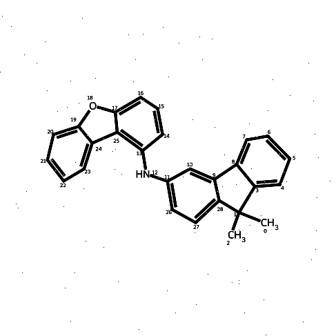 CC1(C)c2ccccc2-c2cc(Nc3cccc4oc5ccccc5c34)ccc21